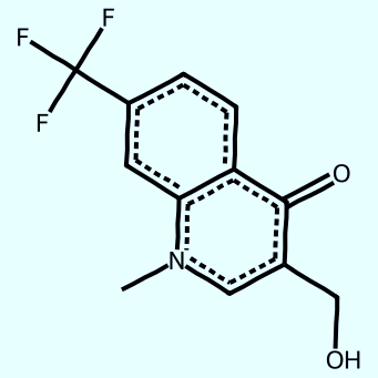 Cn1cc(CO)c(=O)c2ccc(C(F)(F)F)cc21